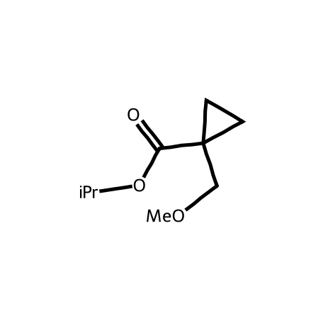 COCC1(C(=O)OC(C)C)CC1